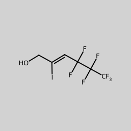 OC/C(I)=C/C(F)(F)C(F)(F)C(F)(F)F